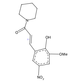 COc1cc([N+](=O)[O-])cc(/C=C/C(=O)N2CCCCC2)c1O